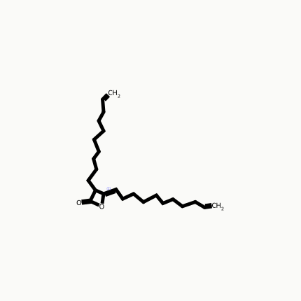 C=CCCCCCCCC/C=C1\OC(=O)C1CCCCCCCCC=C